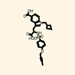 CC#CCOc1ccc(S(=O)(=O)NC(Cc2cn(CC3CCC3)c3ccc(C(=O)O)cc23)C(=O)O)cc1